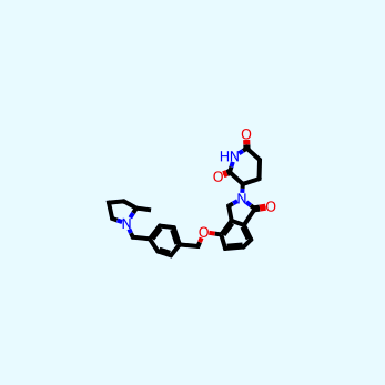 CC1CCCN1Cc1ccc(COc2cccc3c2CN(C2CCC(=O)NC2=O)C3=O)cc1